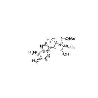 COC[C@H](C(C)CO)C(C)Cn1cnc2c1N=CN(C)C2N